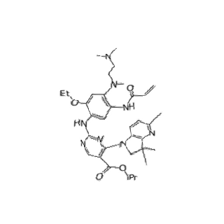 C=CC(=O)Nc1cc(Nc2ncc(C(=O)OC(C)C)c(N3CC(C)(C)c4nc(C)ccc43)n2)c(OCC)cc1N(C)CCN(C)C